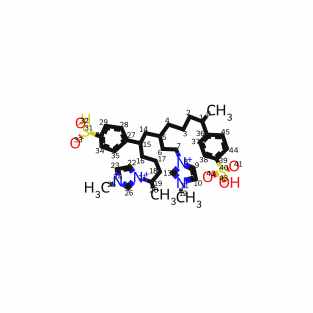 CC(CCCC(CC[n+]1ccn(C)c1)CC(CCCC(C)[n+]1ccn(C)c1)c1ccc([SH](=O)=O)cc1)c1ccc(S(=O)(=O)O)cc1